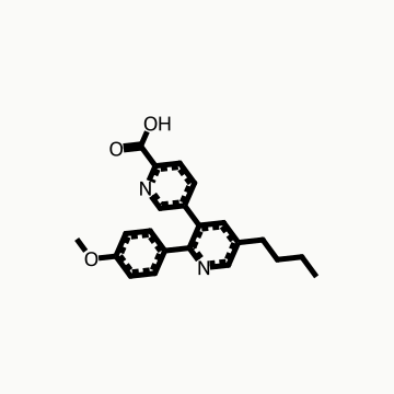 CCCCc1cnc(-c2ccc(OC)cc2)c(-c2ccc(C(=O)O)nc2)c1